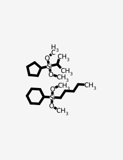 CCCCC[Si](OC)(OC)C1CCCCC1.CO[Si](OC)(C(C)C)C1CCCC1